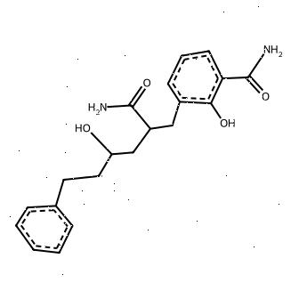 NC(=O)c1cccc(CC(CC(O)[CH]Cc2ccccc2)C(N)=O)c1O